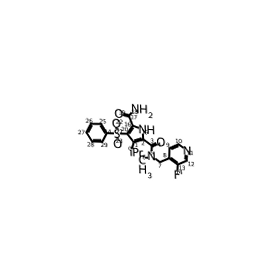 CC(C)c1c(C(=O)N(C)Cc2ccncc2F)[nH]c(C(N)=O)c1S(=O)(=O)c1ccccc1